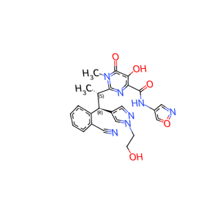 C[C@H](c1nc(C(=O)Nc2cnoc2)c(O)c(=O)n1C)[C@@H](c1cnn(CCO)c1)c1ccccc1C#N